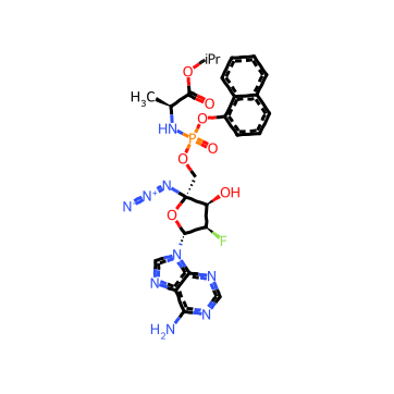 CC(C)OC(=O)[C@H](C)NP(=O)(OC[C@@]1(N=[N+]=[N-])O[C@@H](n2cnc3c(N)ncnc32)[C@H](F)[C@@H]1O)Oc1cccc2ccccc12